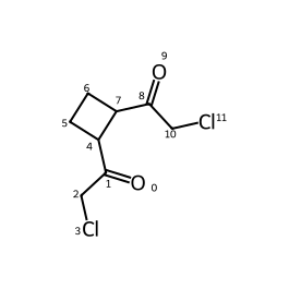 O=C(CCl)C1CCC1C(=O)CCl